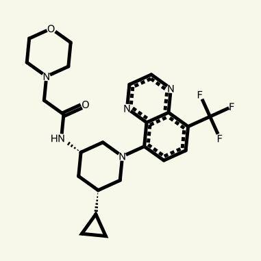 O=C(CN1CCOCC1)N[C@H]1C[C@@H](C2CC2)CN(c2ccc(C(F)(F)F)c3nccnc23)C1